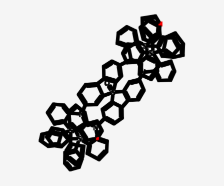 O=S12(c3cc(C4c5ccccc5[Si](c5ccccc5)(c5ccccc5)c5ccccc54)ccc3-c3ccc(N4c5ccccc5[Si](c5ccccc5)(c5ccccc5)c5ccccc54)cc31)c1cc(N3c4ccccc4[Si](c4ccccc4)(c4ccccc4)c4ccccc43)ccc1-c1ccc(N3c4ccccc4[Si](c4ccccc4)(c4ccccc4)c4ccccc43)cc12